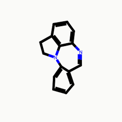 C1=Nc2cccc3c2N(CC3)c2ccccc21